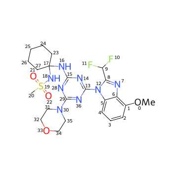 COc1cccc2c1nc(C(F)F)n2-c1nc(NC2(NS(C)(=O)=O)CCCCC2)nc(N2CCOCC2)n1